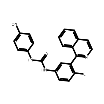 O=Nc1ccc(NC(=S)Nc2ccc(Cl)c(-c3nccc4ccccc34)c2)cc1